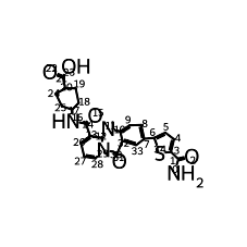 NC(=O)c1ccc(-c2ccc3nc4c(C(=O)NC5CCC(C(=O)O)CC5)cccn4c(=O)c3c2)s1